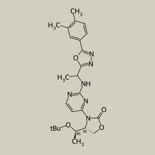 Cc1ccc(-c2nnc(C(C)Nc3nccc(N4C(=O)OC[C@@H]4[C@@H](C)OC(C)(C)C)n3)o2)cc1C